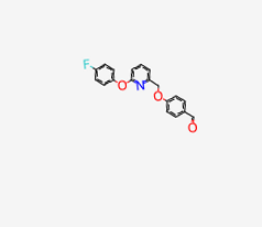 O=Cc1ccc(OCc2cccc(Oc3ccc(F)cc3)n2)cc1